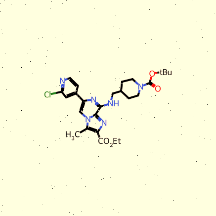 CCOC(=O)c1nc2c(NCC3CCN(C(=O)OC(C)(C)C)CC3)nc(-c3ccnc(Cl)c3)cn2c1C